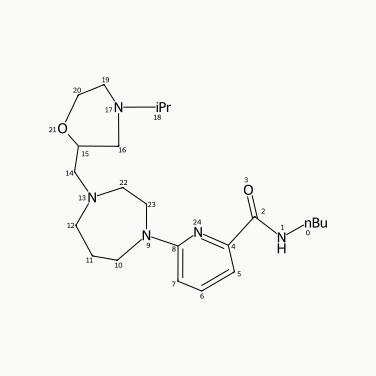 CCCCNC(=O)c1cccc(N2CCCN(CC3CN(C(C)C)CCO3)CC2)n1